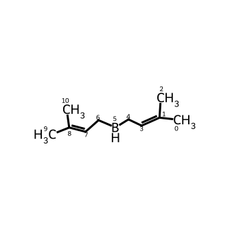 CC(C)=CCBCC=C(C)C